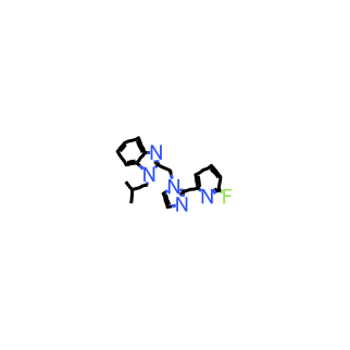 CC(C)Cn1c(Cn2ccnc2-c2cccc(F)n2)nc2ccccc21